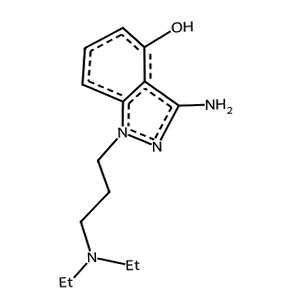 CCN(CC)CCCn1nc(N)c2c(O)cccc21